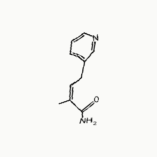 CC(=CCc1cccnc1)C(N)=O